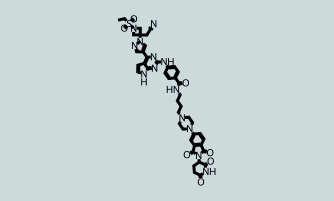 CCS(=O)(=O)N1CC(CC#N)(n2cc(-c3nc(Nc4ccc(C(=O)NCCCCN5CCN(c6ccc7c(c6)C(=O)N(C6CCC(=O)NC6=O)C7=O)CC5)cc4)nc4[nH]ccc34)cn2)C1